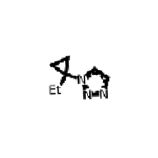 CCC1(n2ccnn2)CC1